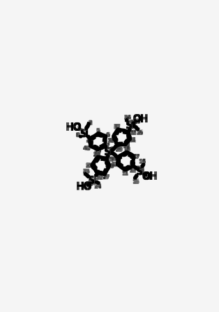 C[Si](C)(O)c1ccc([Si](c2ccc([Si](C)(C)O)cc2)(c2ccc([Si](C)(C)O)cc2)c2ccc([Si](C)(C)O)cc2)cc1